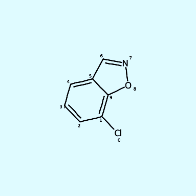 Clc1c[c]cc2cnoc12